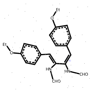 CCOc1ccc(C=C(NC=O)/C(=C\c2ccc(OCC)cc2)NC=O)cc1